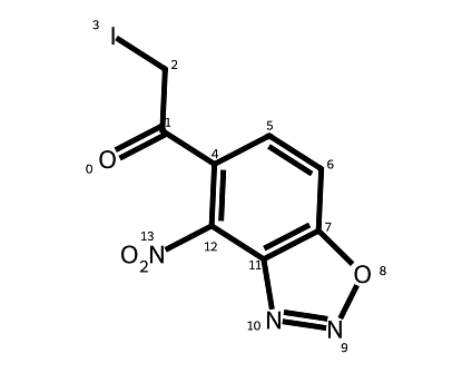 O=C(CI)c1ccc2onnc2c1[N+](=O)[O-]